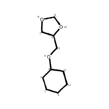 C1CCC(OCC2COCO2)CC1